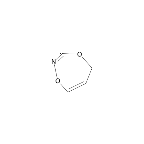 [C]1=NOC=CCO1